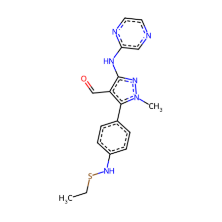 CCSNc1ccc(-c2c(C=O)c(Nc3cnccn3)nn2C)cc1